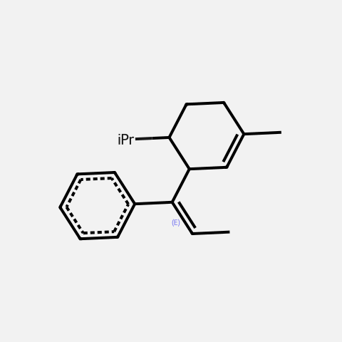 C/C=C(/c1ccccc1)C1C=C(C)CCC1C(C)C